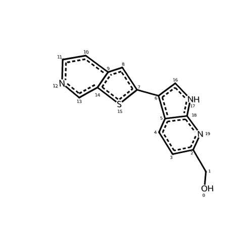 OCc1ccc2c(-c3cc4ccncc4s3)c[nH]c2n1